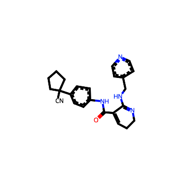 N#CC1(c2ccc(NC(=O)C3=CCCN=C3NCc3ccncc3)cc2)CCCC1